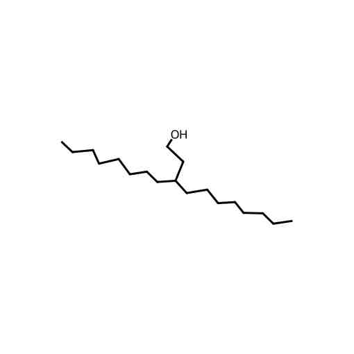 CCCCCCCCC(CCO)CCCCCCCC